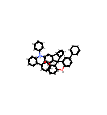 C1=CC(c2ccc3c(c2)C2(c4ccccc4O3)c3ccccc3-c3cc(N(c4ccccc4)c4ccccc4-c4ccccc4)ccc32)=CCC1